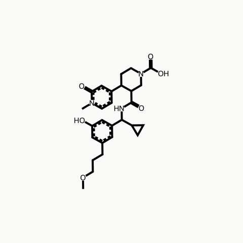 COCCCc1cc(O)cc(C(NC(=O)C2CN(C(=O)O)CCC2c2ccn(C)c(=O)c2)C2CC2)c1